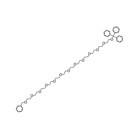 c1ccc(COCCOCCOCCOCCOCCOCCOCCOCCOCCOCCOCCOCCOC(c2ccccc2)(c2ccccc2)c2ccccc2)cc1